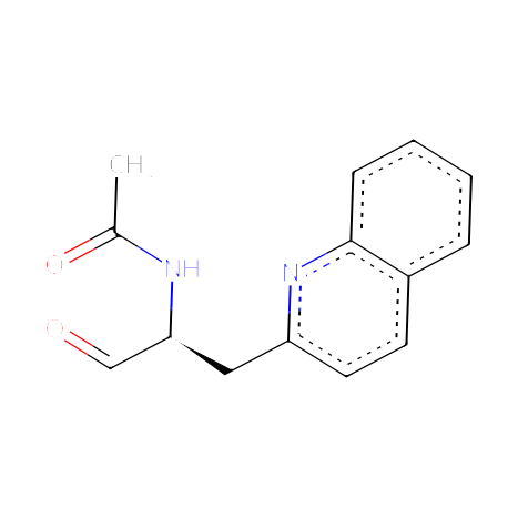 CC(=O)N[C@H]([C]=O)Cc1ccc2ccccc2n1